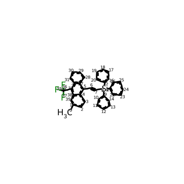 Cc1ccc2c(C#C[Si](c3ccccc3)(c3ccccc3)c3ccccc3)c3ccccc3c(C(F)(F)F)c2c1